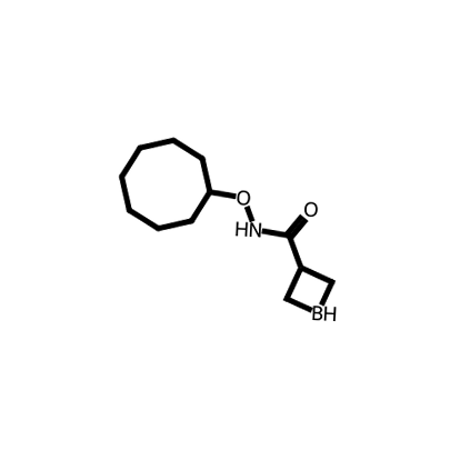 O=C(NOC1CCCCCCC1)C1CBC1